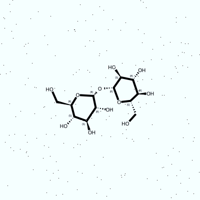 OC[C@@H]1O[C@H](O[C@H]2O[C@H](CO)[C@@H](O)[C@H](O)[C@H]2O)[C@@H](O)[C@H](O)[C@H]1O